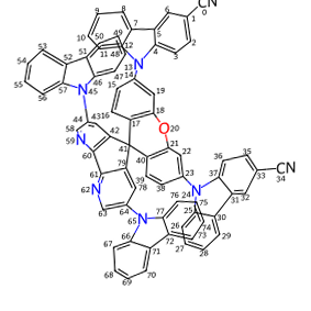 N#Cc1ccc2c(c1)c1ccccc1n2-c1ccc2c(c1)Oc1cc(-n3c4ccccc4c4cc(C#N)ccc43)ccc1C21c2cc(-n3c4ccccc4c4ccccc43)cnc2-c2ncc(-n3c4ccccc4c4ccccc43)cc21